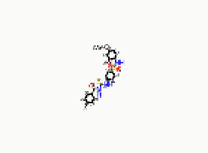 COc1ccc(NS(=O)(=O)c2ccc(NC(=S)NC(=O)c3ccc(C)cc3)cc2)c(C)c1